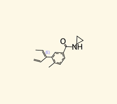 C=C/C(=C\C)c1cc(C(=O)NC2CC2)ccc1C